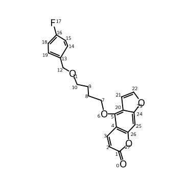 O=c1ccc2c(OCCCCOCc3ccc(F)cc3)c3ccoc3cc2o1